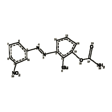 CC(C)(C)c1c(N=Nc2cccc([N+](=O)[O-])c2)cccc1OC(N)=O